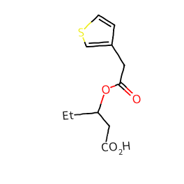 CCC(CC(=O)O)OC(=O)Cc1ccsc1